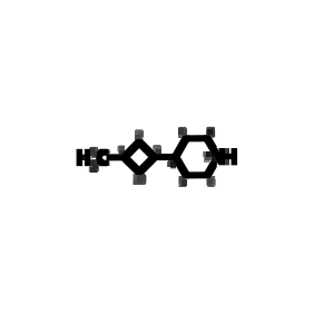 CC1CC(C2CCNCC2)C1